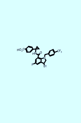 CCC1CN(Cc2ccc(C(F)(F)F)cc2)c2c(C(=O)NC3(c4ccc(C(=O)O)cc4)CC3)cc(F)cc21